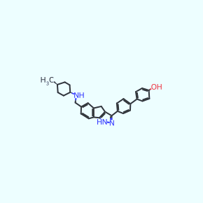 C[C@H]1CC[C@@H](NCc2ccc3c(c2)Cc2c(-c4ccc(-c5ccc(O)cc5)cc4)n[nH]c2-3)CC1